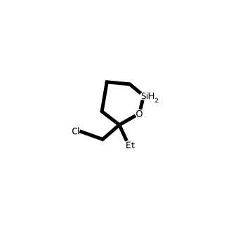 CCC1(CCl)CCC[SiH2]O1